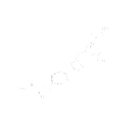 CC(C)(C)OC(=O)NCC(Cn1cc(-c2ccc(OC[C@@H](O)C(=O)OC(C)(C)C)cc2)cn1)O[Si](C)(C)C(C)(C)C